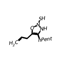 C=CCC1=C(CCCCC)NN(S)O1